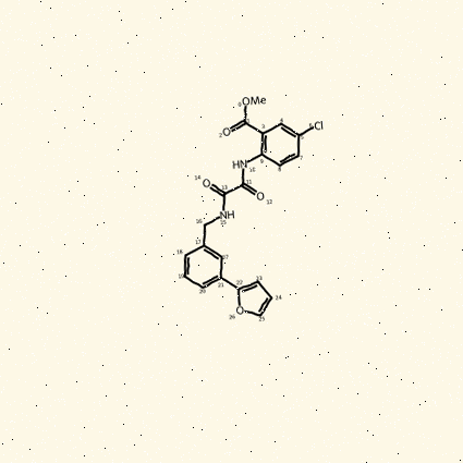 COC(=O)c1cc(Cl)ccc1NC(=O)C(=O)NCc1cccc(-c2ccco2)c1